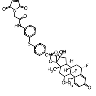 C[C@]12C=CC(=O)C=C1[C@@H](F)C[C@H]1[C@@H]3C[C@H]4O[C@@H](c5ccc(Sc6cccc(NC(=O)CN7C(=O)C=CC7=O)c6)cc5)O[C@@]4(C(O)C=O)[C@@]3(C)C[C@H](O)[C@@]12F